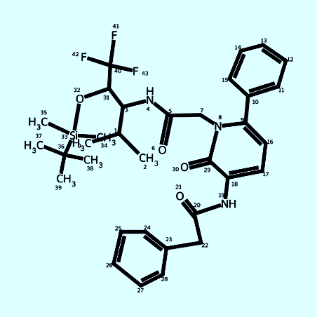 CC(C)C(NC(=O)Cn1c(-c2ccccc2)ccc(NC(=O)Cc2ccccc2)c1=O)C(O[Si](C)(C)C(C)(C)C)C(F)(F)F